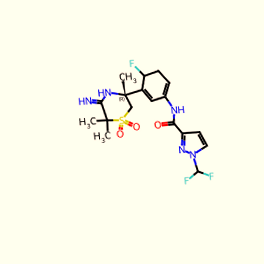 CC1(C)C(=N)N[C@](C)(C2=CC(NC(=O)c3ccn(C(F)F)n3)=CCC2F)CS1(=O)=O